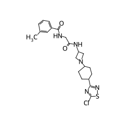 Cc1cccc(C(=O)NCC(=O)NC2CN(C3CCC(c4nsc(Cl)n4)CC3)C2)c1